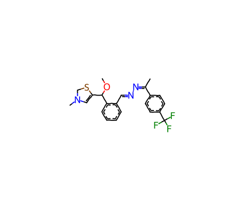 COC(C1=CN(C)CS1)c1ccccc1C=NN=C(C)c1ccc(C(F)(F)F)cc1